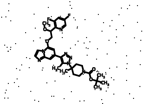 COC(COc1cc(-c2nnn(C3(C)CCN(C(=O)OC(C)(C)C)CC3)c2C)cc2nccn12)c1ncc(F)cc1F